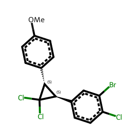 COc1ccc([C@@H]2[C@@H](c3ccc(Cl)c(Br)c3)C2(Cl)Cl)cc1